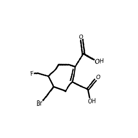 O=C(O)C1=C(C(=O)O)CC(Br)C(F)C1